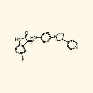 O=C1Nc2ccc(F)cc2/C1=C/Nc1ccc(N2CCC(c3ccncc3)C2)cc1